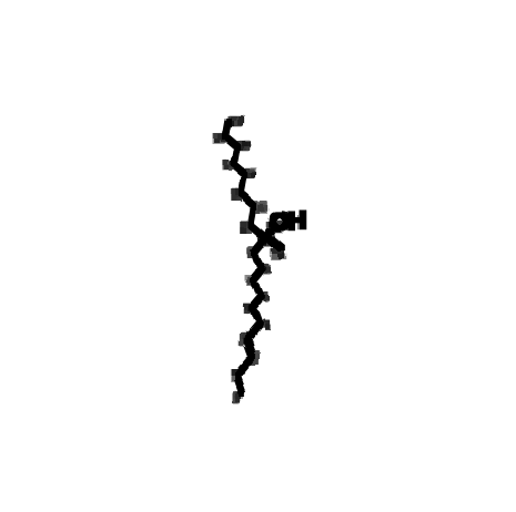 CCCCCCCCCCC(C)(O)CCCCCCCC